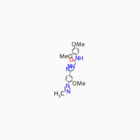 COc1ccc(NC(=O)Cn2cc(-c3ccc(-n4cnc(C)c4)c(OC)c3)nn2)c(OC)c1